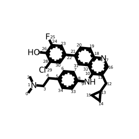 CN(C)CCc1ccc(Nc2c(CC3CC3)cnc3ccc(-c4cc(F)c(O)c(Cl)c4)cc23)cc1